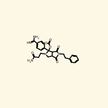 N=C(N)c1ccc(C2(OC(=O)O)C3C(=O)N(CCc4ccccc4)C(=O)C3CN2CCC(N)=O)cc1